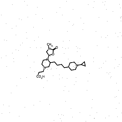 CN1CC(N2CCN(CCC(=O)O)CC2CCCCC2CCN(C3CC3)CC2)OC1=O